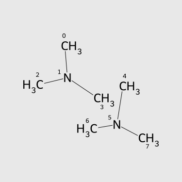 CN(C)C.CN(C)C